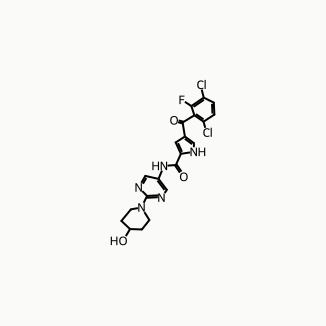 O=C(Nc1cnc(N2CCC(O)CC2)nc1)c1cc(C(=O)c2c(Cl)ccc(Cl)c2F)c[nH]1